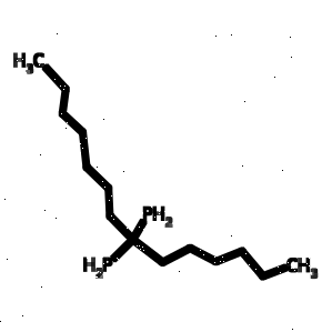 CCCCCCCC(P)(P)CCCCCC